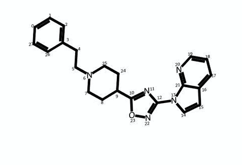 c1ccc(CCN2CCC(c3nc(-n4ccc5cccnc54)no3)CC2)cc1